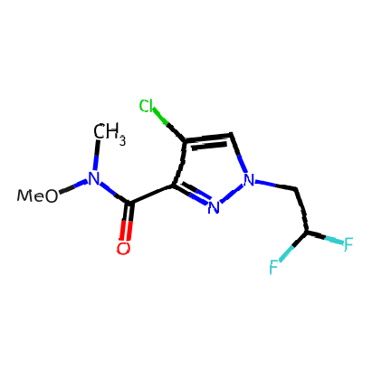 CON(C)C(=O)c1nn(CC(F)F)cc1Cl